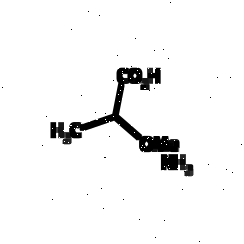 COC(C)C(=O)O.N